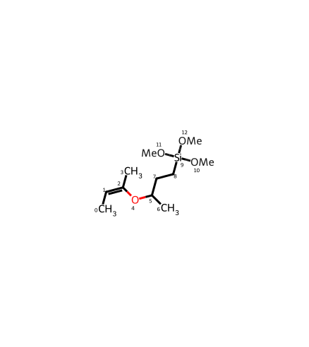 C/C=C(/C)OC(C)CC[Si](OC)(OC)OC